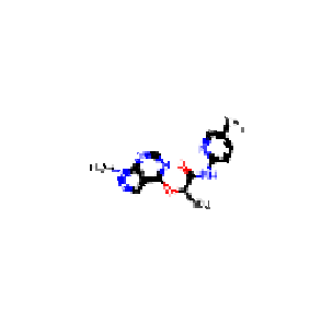 CCCCC(Oc1ncnc2c1cnn2C)C(=O)Nc1ccc(C)cn1